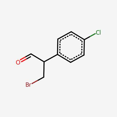 O=CC(CBr)c1ccc(Cl)cc1